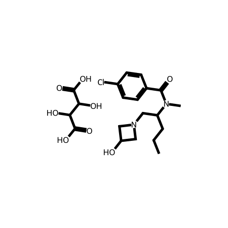 CCCC(CN1CC(O)C1)N(C)C(=O)c1ccc(Cl)cc1.O=C(O)C(O)C(O)C(=O)O